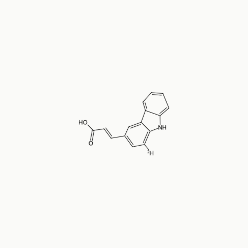 [2H]c1cc(C=CC(=O)O)cc2c1[nH]c1ccccc12